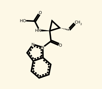 C=C[C@H]1C[C@@]1(NC(=O)O)C(=O)n1ncc2ccccc21